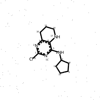 Clc1nc2c(c(NC3CCCC3)n1)NCCC2